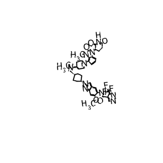 COc1cc2nn([C@H]3CC[C@H](CN(C)C4CCN(c5cccc6c5n(C)c(=O)n6C5CCC(=O)NC5=O)CC4)CC3)cc2cc1NC(=O)c1cncnc1C(F)(F)F